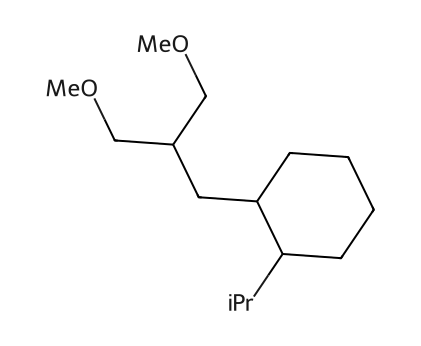 COCC(COC)CC1CCCCC1C(C)C